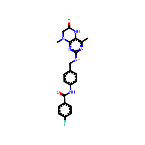 Cc1nc(NCc2ccc(NC(=O)c3ccc(F)cc3)cc2)nc2c1NC(=O)CN2C